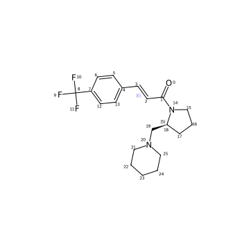 O=C(/C=C/c1ccc(C(F)(F)F)cc1)N1CCC[C@H]1CN1CCCCC1